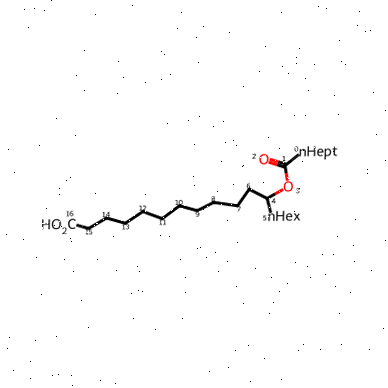 CCCCCCCC(=O)OC(CCCCCC)CCCCCCCCCCC(=O)O